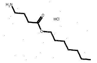 CCCCCCCOC(=O)CCCN.Cl